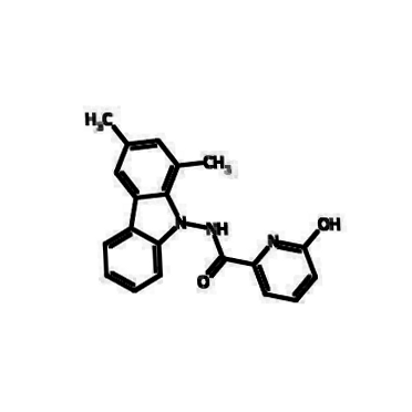 Cc1cc(C)c2c(c1)c1ccccc1n2NC(=O)c1cccc(O)n1